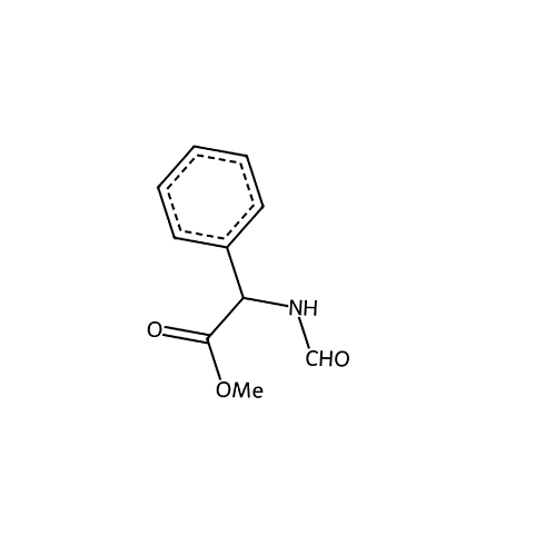 COC(=O)C(NC=O)c1ccccc1